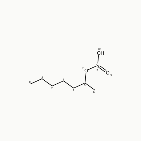 CCCCCC(C)OS(=O)O